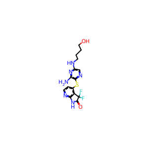 Nc1nc(NCCCCO)cnc1Sc1ccnc2c1C(F)(F)C(=O)N2